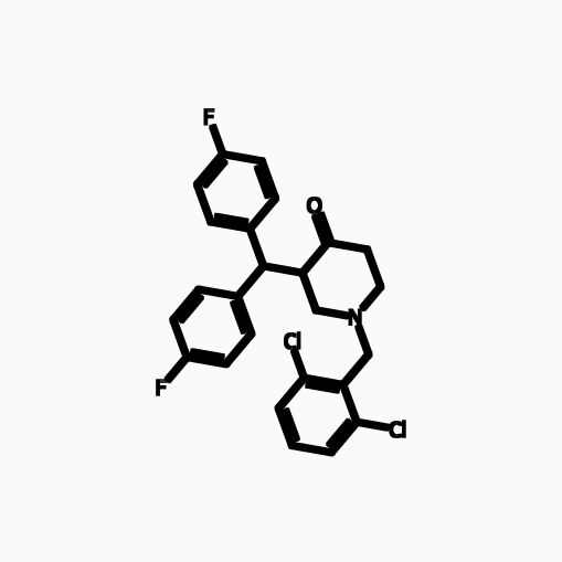 O=C1CCN(Cc2c(Cl)cccc2Cl)CC1C(c1ccc(F)cc1)c1ccc(F)cc1